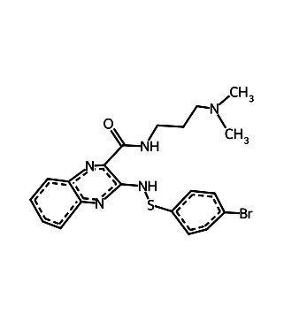 CN(C)CCCNC(=O)c1nc2ccccc2nc1NSc1ccc(Br)cc1